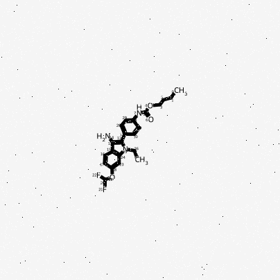 CCCCOC(=O)Nc1ccc(-c2c(N)c3ccc(OC(F)F)cc3n2CC)cc1